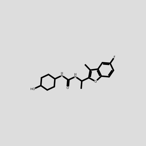 Cc1c(C(C)NC(=O)NC2CCC(O)CC2)oc2ccc(F)cc12